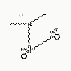 CCCCCCCC[N+](C)(CCCCCCCC)CCCCCCCC.O=C(OCCCCCCCCOc1ccccc1[N+](=O)[O-])OB(O)c1ccccc1.[Cl-]